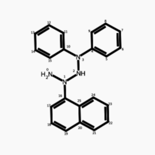 NN(NN(c1ccccc1)c1ccccc1)c1cccc2ccccc12